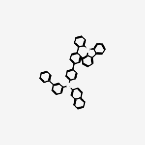 c1ccc(-c2cccc(N(c3ccc(-c4ccc(-c5ccccc5-n5c6ccccc6c6ccccc65)cc4)cc3)c3ccc4ccccc4c3)c2)cc1